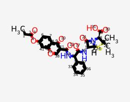 CCC(=O)Oc1ccc2c(=O)c(C(=O)NC(C(=O)N[C@@H]3C(=O)N4[C@@H]3SC(C)(C)[C@@H]4C(=O)O)c3ccccc3)coc2c1